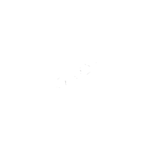 COc1cc(CNc2ccc(Br)c(F)n2)c(F)cn1